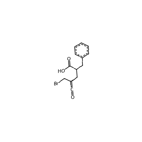 O=C=C(CBr)CC(Cc1ccccc1)C(=O)O